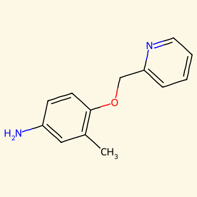 Cc1cc(N)ccc1OCc1ccccn1